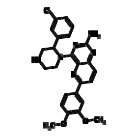 COc1ccc(-c2ccc3nc(N)nc(N4CCNCC4c4cccc(Cl)c4)c3n2)cc1OC